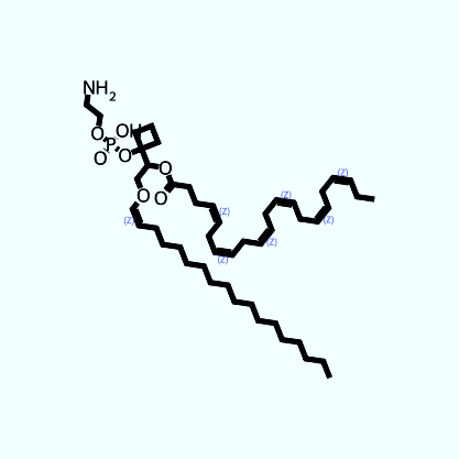 CC/C=C\C/C=C\C/C=C\C/C=C\C/C=C\C/C=C\CCC(=O)OC(CO/C=C\CCCCCCCCCCCCCCCC)C1(OP(=O)(O)OCCN)CCC1